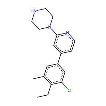 CCc1c(C)cc(-c2ccnc(N3CCNCC3)c2)cc1Cl